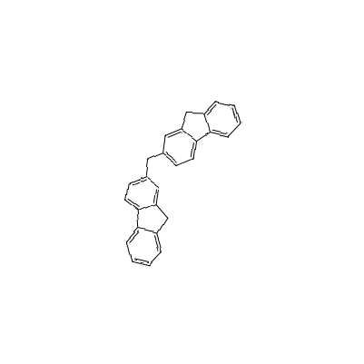 c1ccc2c(c1)Cc1cc(Cc3ccc4c(c3)Cc3ccccc3-4)ccc1-2